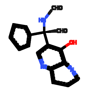 O=CN[C@@](C=O)(c1ccccc1)c1cnc2cccnc2c1O